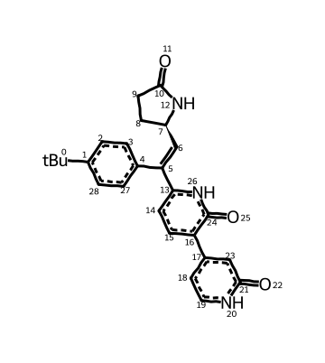 CC(C)(C)c1ccc(/C(=C\[C@H]2CCC(=O)N2)c2ccc(-c3cc[nH]c(=O)c3)c(=O)[nH]2)cc1